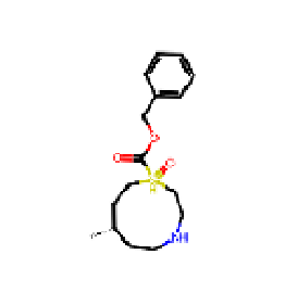 C[C@H]1CCNCC[SH](=O)(C(=O)OCc2ccccc2)CC1